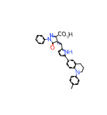 Cc1ccc(N2CCCc3cc(-c4ccc(/C=C5\C(=O)N(c6ccccc6)N=C5C(=O)O)[nH]4)ccc32)cc1